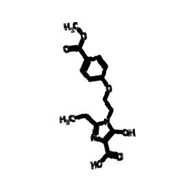 CCc1nc(C(=O)O)c(O)n1CCOc1ccc(C(=O)OC)cc1